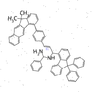 CC1(C)c2cc3ccccc3cc2-c2c(-c3ccc(/C=C/C(NC(N)c4ccccc4)c4cccc5c4-c4ccccc4C5(c4ccccc4)c4ccccc4)cc3)cccc21